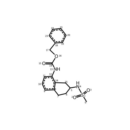 CS(=O)(=O)NC1CCc2cccc(NC(=O)OCc3ccccc3)c2C1